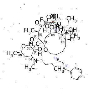 CCCCN(C)[C@H]1C[C@@H](C)O[C@@H](O[C@@H]2[C@@H](C)C(=O)[C@](C)(F)C(=O)O[C@H](CC)[C@@](C)(O)[C@@H]3CC/C(=C\C=C\c4ccccc4)CO[C@]2(C)C[C@@H](C)/C(=N\C(C)=O)[C@@H]3C)[C@@H]1O